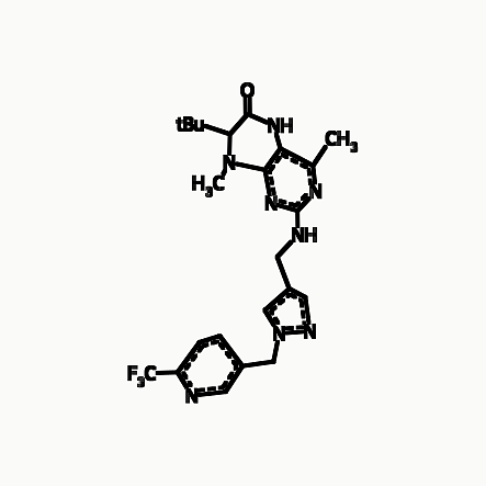 Cc1nc(NCc2cnn(Cc3ccc(C(F)(F)F)nc3)c2)nc2c1NC(=O)C(C(C)(C)C)N2C